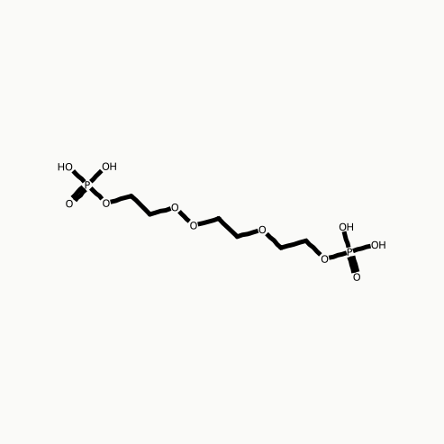 O=P(O)(O)OCCOCCOOCCOP(=O)(O)O